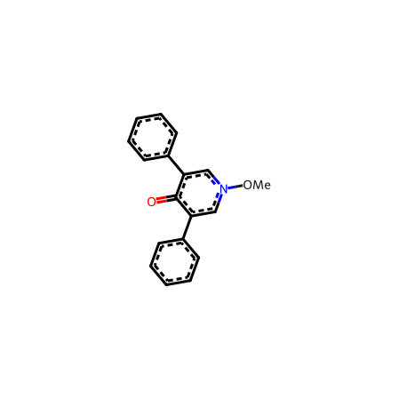 COn1cc(-c2ccccc2)c(=O)c(-c2ccccc2)c1